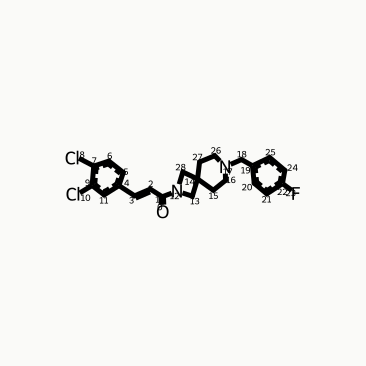 O=C(C=Cc1ccc(Cl)c(Cl)c1)N1CC2(CCN(Cc3ccc(F)cc3)CC2)C1